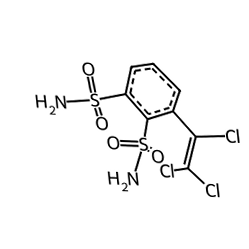 NS(=O)(=O)c1cccc(C(Cl)=C(Cl)Cl)c1S(N)(=O)=O